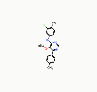 CCCCOc1c(Nc2ccc(C#N)c(F)c2)ncnc1-c1ccc(C)cc1